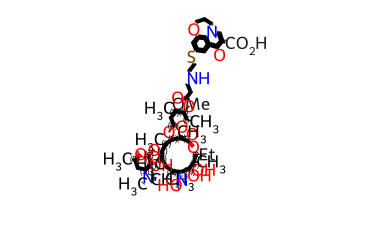 CC[C@H]1OC(=O)[C@H](C)[C@@H](O[C@H]2C[C@@](C)(OC)[C@@H](OC(=O)CCNCCSc3cc4c5c(c3)c(=O)c(C(=O)O)cn5CCCO4)[C@H](C)O2)[C@H](C)[C@@H](O[C@@H]2O[C@H](C)C[C@H](N(C)C)[C@H]2O)[C@](C)(O)C[C@@H](C)/C(=N\O)[C@@H](O)[C@]1(C)O